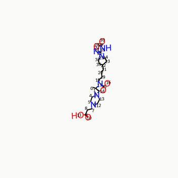 CC1C(N2CCN(CCC(=O)O)CC2)OC(=O)N1CCCCC1CCN(c2noc(=O)[nH]2)CC1